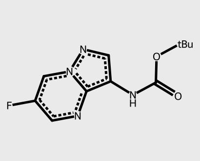 CC(C)(C)OC(=O)Nc1cnn2cc(F)cnc12